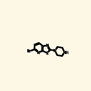 Brc1ccc2nc(N3CCNCC3)sc2n1